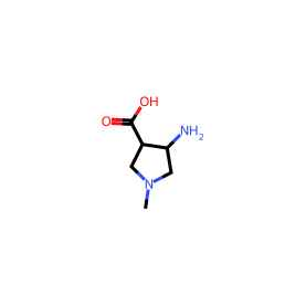 CN1CC(N)C(C(=O)O)C1